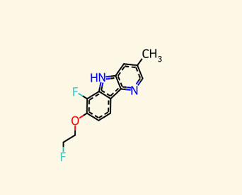 Cc1cnc2c(c1)[nH]c1c(F)c(OCCF)ccc12